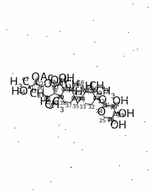 CC(=O)O[C@@H]([C@H]1C[C@@H](C)C2[C@@](O)(O1)[C@H](O)[C@@]1(C)[C@@H]3CC[C@H]4C(C)(C)[C@@H](O[C@@H]5OC[C@@H](O)[C@H](O)[C@H]5O)CC[C@@]45C[C@@]35CC[C@]21C)C(C)(C)O